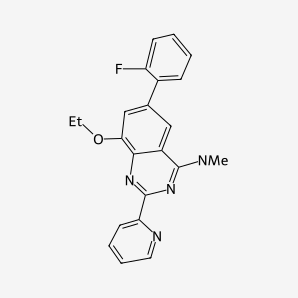 CCOc1cc(-c2ccccc2F)cc2c(NC)nc(-c3ccccn3)nc12